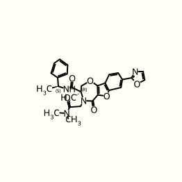 C[C@H](NC(=O)[C@@]1(C)COc2c(oc3cc(-c4ncco4)ccc23)C(=O)N1CC(=O)N(C)C)c1ccccc1